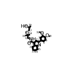 COc1ccc(-c2cc(C(=O)NCC(C)(C)OCC(C)O)c3ccccc3n2)cc1OC